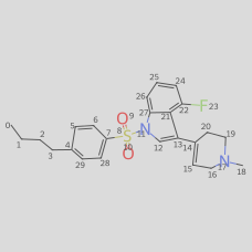 CCCCc1ccc(S(=O)(=O)n2cc(C3=CCN(C)CC3)c3c(F)cccc32)cc1